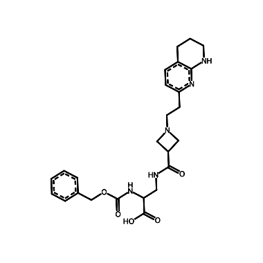 O=C(NC(CNC(=O)C1CN(CCc2ccc3c(n2)NCCC3)C1)C(=O)O)OCc1ccccc1